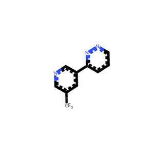 FC(F)(F)c1cncc(-c2cccnn2)c1